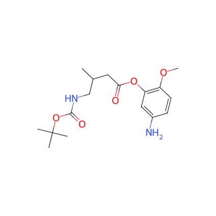 COc1ccc(N)cc1OC(=O)CC(C)CNC(=O)OC(C)(C)C